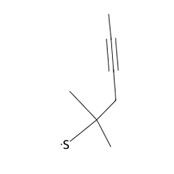 CC#CCC(C)(C)[S]